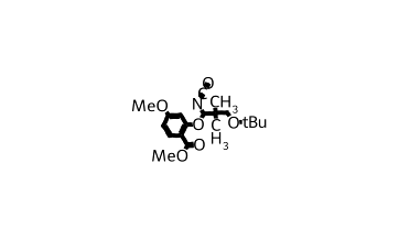 COC(=O)c1ccc(OC)cc1OC(N=C=O)C(C)(C)COC(C)(C)C